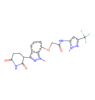 Cn1nc(C(F)(F)F)cc1NC(=O)COc1cccc2c(C3CCC(=O)NC3=O)nn(C)c12